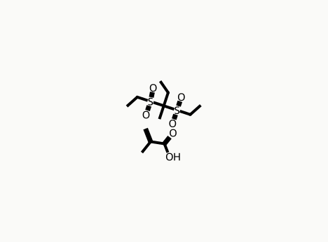 C=C(C)C(=O)O.CCC(C)(S(=O)(=O)CC)S(=O)(=O)CC